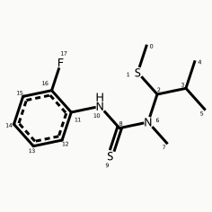 CSC(C(C)C)N(C)C(=S)Nc1ccccc1F